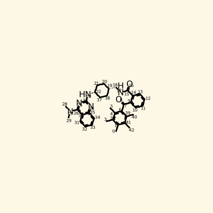 Cc1c(C)c(C)c(C(=O)c2ccccc2C(=O)NC[C@H]2CC[C@@H](Nc3nc(N(C)C)c4ccccc4n3)CC2)c(C)c1C